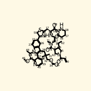 C=CC(=O)N1CC[C@H](C(=O)N(C)[C@H](C(=O)N[C@@H](CC2=NC(c3ccc4c(c3)c(CC(C)(C)COC=O)c(-c3cccnc3[C@H](C)OC)n4CC)CS2)C(=O)N2CCCCN2)C(C)C)C1